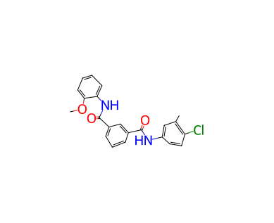 COc1ccccc1NC(=O)c1cccc(C(=O)Nc2ccc(Cl)c(C)c2)c1